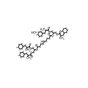 CC(CC1CCCCC1)C(=O)OCC(COC(=O)C(C)CC1CCCCC1)OC(=O)CCCNCCCC(=O)OC(COC(=O)C(C)CC1CCCCC1)COC(=O)C(C)CC1CCCCC1.Cl